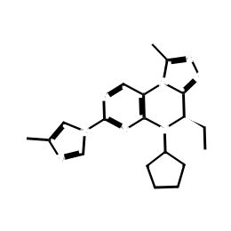 CC[C@@H]1c2nnc(C)n2-c2cnc(-n3cnc(C)c3)nc2N1C1CCCC1